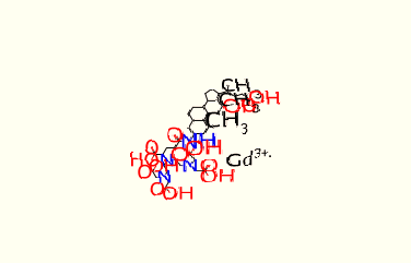 CC(CCC(=O)O)C1CCC2C3CCC4CC(NC(=O)CCC(C(=O)O)N(CCN(CC(=O)O)CC(=O)O)CCN(CC(=O)O)CC(=O)O)CCC4(C)C3CC(O)C12C.[Gd+3]